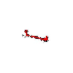 CC1(CCCN(CCOCCOCCOCCOCCC(=O)NCCOCCOCCOCCOCCOCCOCCOCCOCCOCCOCCOC(C)(C)CCNC(=O)CCCCC2SC[C@@H]3NC(=O)N[C@H]23)c2nc(-c3cc(-c4ccon4)n(Cc4ccccc4F)n3)ncc2F)NN1